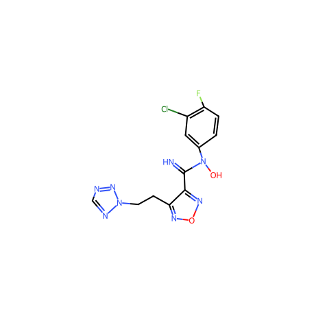 N=C(c1nonc1CCn1ncnn1)N(O)c1ccc(F)c(Cl)c1